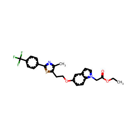 CCOC(=O)Cn1ccc2cc(OCCc3sc(-c4ccc(C(F)(F)F)cc4)nc3C)ccc21